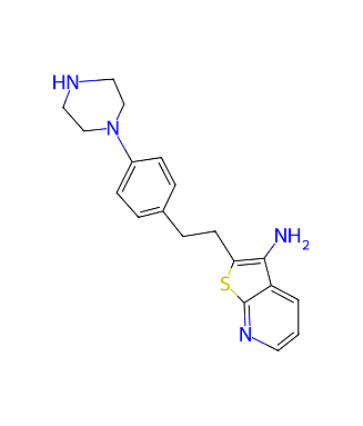 Nc1c(CCc2ccc(N3CCNCC3)cc2)sc2ncccc12